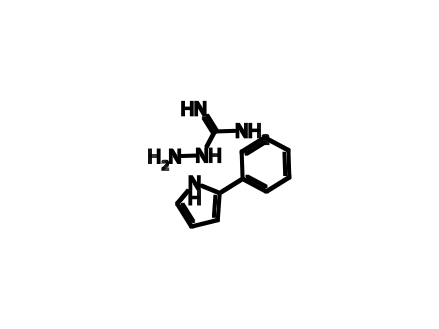 N=C(N)NN.c1ccc(-c2ccc[nH]2)cc1